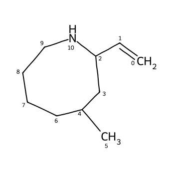 C=CC1CC(C)CCCCN1